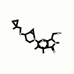 Cc1c(N2CCC(OCC3(C)CC3)C3CC32)nc2c(c1C)C(=O)N(C)C2CO